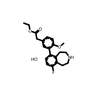 CCOC(=O)Cc1ccc(OC)c(-c2ccc(F)c3c2CCNCC3)c1.Cl